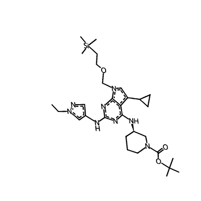 CCn1cc(Nc2nc(N[C@@H]3CCCN(C(=O)OC(C)(C)C)C3)c3c(C4CC4)cn(COCC[Si](C)(C)C)c3n2)cn1